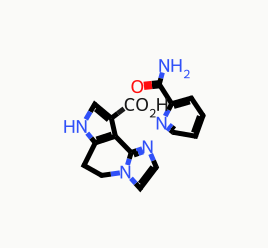 NC(=O)c1ccccn1.O=C(O)c1c[nH]c2c1-c1nccn1CC2